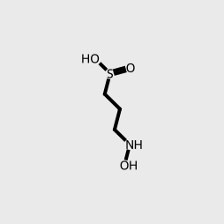 O=S(O)CCCNO